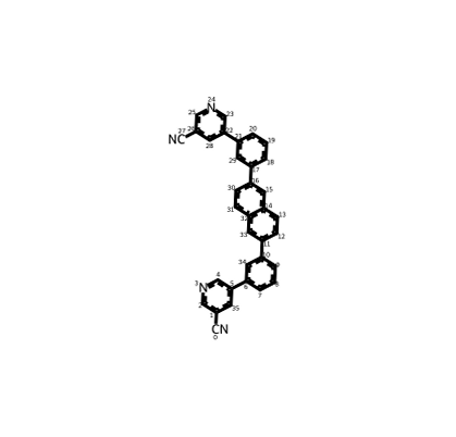 N#Cc1cncc(-c2cccc(-c3ccc4cc(-c5cccc(-c6cncc(C#N)c6)c5)ccc4c3)c2)c1